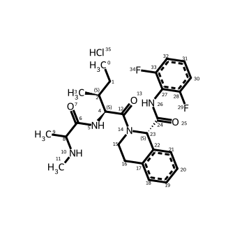 CC[C@H](C)[C@H](NC(=O)C(C)NC)C(=O)N1CCc2ccccc2[C@H]1C(=O)Nc1c(F)cccc1F.Cl